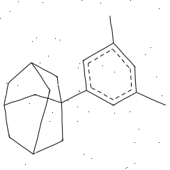 Cc1cc(C)cc(C23CC4CC(CC(C4)C2)C3)c1